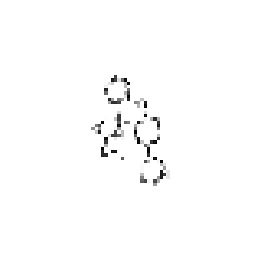 NC1=NC2(CO1)c1cc(-c3cccnc3)ccc1Oc1ncccc12